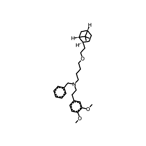 COc1ccc(CCN(CCCCOCC[C@@H]2CC[C@H]3C[C@@H]2C3(C)C)Cc2ccccc2)cc1OC